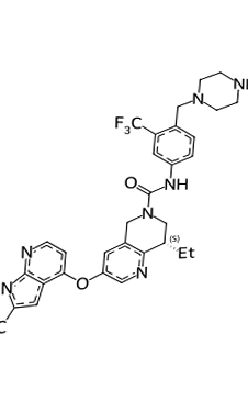 CC[C@H]1CN(C(=O)Nc2ccc(CN3CCNCC3)c(C(F)(F)F)c2)Cc2cc(Oc3ccnc4[nH]c(C#N)cc34)cnc21